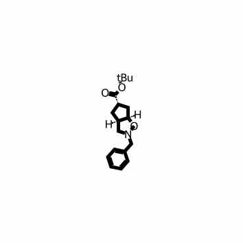 CC(C)(C)OC(=O)[C@H]1C[C@@H]2CN(Cc3ccccc3)O[C@@H]2C1